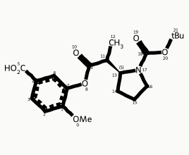 COc1ccc(C(=O)O)cc1OC(=O)C(C)[C@@H]1CCCN1C(=O)OC(C)(C)C